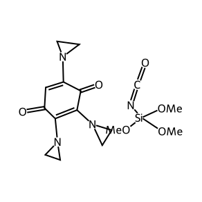 CO[Si](N=C=O)(OC)OC.O=C1C=C(N2CC2)C(=O)C(N2CC2)=C1N1CC1